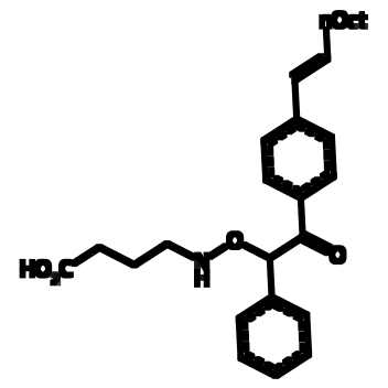 CCCCCCCCC=Cc1ccc(C(=O)C(ONCCCC(=O)O)c2ccccc2)cc1